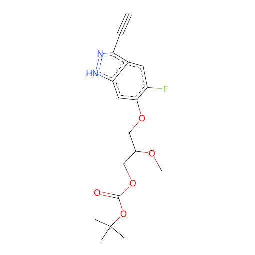 C#Cc1n[nH]c2cc(OCC(COC(=O)OC(C)(C)C)OC)c(F)cc12